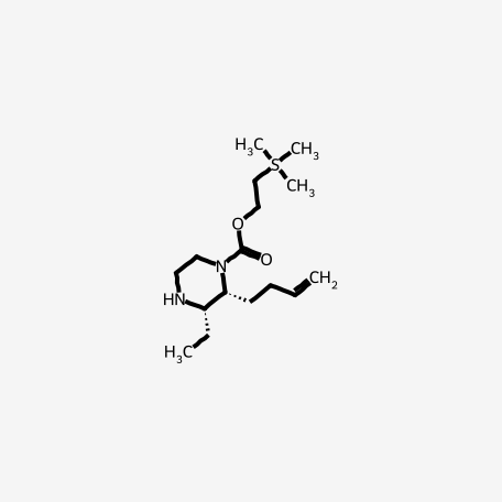 C=CCC[C@@H]1[C@H](CC)NCCN1C(=O)OCCS(C)(C)C